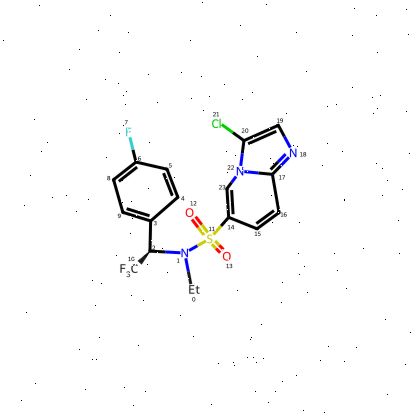 CCN([C@H](c1ccc(F)cc1)C(F)(F)F)S(=O)(=O)c1ccc2ncc(Cl)n2c1